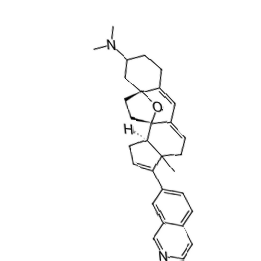 CN(C)C1CCC2=CC3=CCC4(C)C(c5ccc6ccncc6c5)=CC[C@H]4[C@@]34CC[C@]2(C1)O4